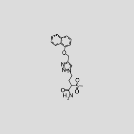 CS(=O)(=O)C(CCn1cc(COc2cccc3ccccc23)nn1)C(N)=O